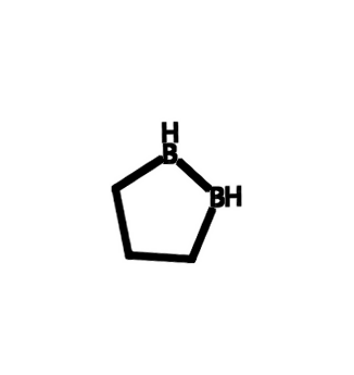 B1BCCC1